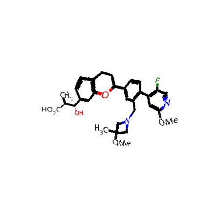 COc1cc(-c2ccc(C3CCc4ccc([C@H](O)[C@H](C)C(=O)O)cc4O3)cc2CN2CC(C)(OC)C2)c(F)cn1